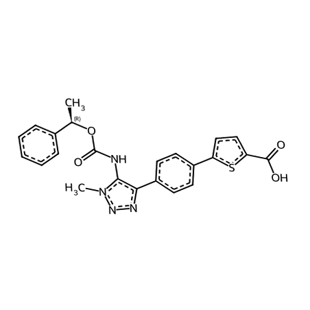 C[C@@H](OC(=O)Nc1c(-c2ccc(-c3ccc(C(=O)O)s3)cc2)nnn1C)c1ccccc1